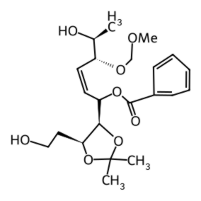 COCO[C@H](/C=C\C(OC(=O)c1ccccc1)[C@H]1OC(C)(C)O[C@H]1CCO)[C@H](C)O